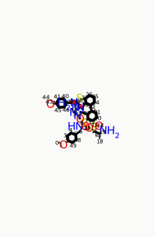 COc1ccc(CNS(=O)(=O)c2c(S(=O)(=O)C[C@H](C)N)ccc(-c3cccc4sc(N)nc34)c2-c2nnn(Cc3ccc(OC)cc3)n2)cc1